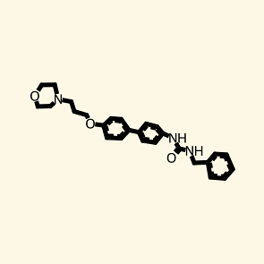 O=C(NCc1ccccc1)Nc1ccc(-c2ccc(OCCCN3CCOCC3)cc2)cc1